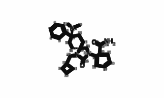 CN(C)[C@]1(c2ccccc2)CC[C@]2(CC1)CN(c1ccccc1C(N)=O)C(=O)N2CC1CCC1